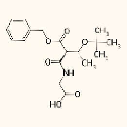 C[C@@H](OC(C)(C)C)[C@@H](C(=O)NCC(=O)O)C(=O)OCc1ccccc1